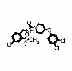 CS(=O)(=O)c1cc(Cl)ccc1CNC(=O)N1CCC(Oc2ccc(Cl)c(Cl)c2)CC1